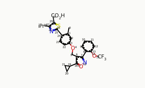 Cc1cc(OCc2c(-c3ccccc3OC(F)(F)F)noc2C2CC2)ccc1-c1nc(C(C)C)c(C(=O)O)s1